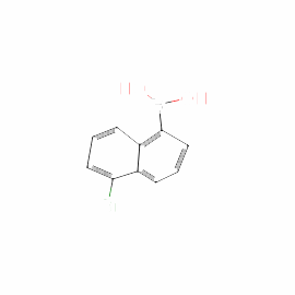 OB(O)c1cccc2c(Br)cccc12